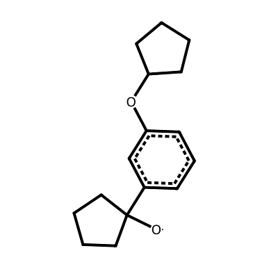 [O]C1(c2cccc(OC3CCCC3)c2)CCCC1